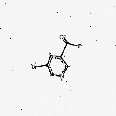 CC(C)C(=O)c1cncc(Br)c1